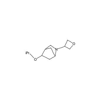 CC(C)OC1CC2CC1CN2C1COC1